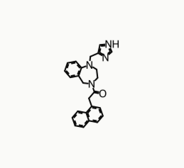 O=C(Cc1cccc2ccccc12)N1CCN(Cc2c[nH]cn2)c2ccccc2C1